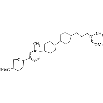 CCCCCC1CCC(c2ccc(C3CCC(C4CCC(CCCN(C)SOC)CC4)CC3)c(C)c2)CC1